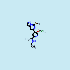 CCNC(C)c1cc(-c2cc3ccnn3c(SC)n2)c(OC)cn1.Cl